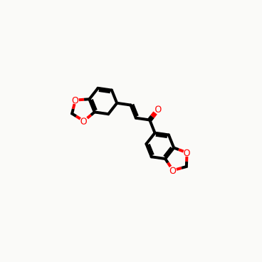 O=C(C=CC1C=CC2=C(C1)OCO2)c1ccc2c(c1)OCO2